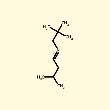 CC(C)C/C=N/CC(C)(C)C